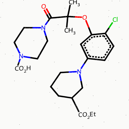 CCOC(=O)C1CCCN(c2ccc(Cl)c(OC(C)(C)C(=O)N3CCN(C(=O)O)CC3)c2)C1